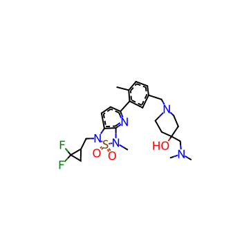 Cc1ccc(CN2CCC(O)(CN(C)C)CC2)cc1-c1ccc2c(n1)N(C)S(=O)(=O)N2CC1CC1(F)F